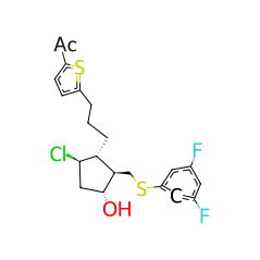 CC(=O)c1ccc(CCC[C@@H]2[C@@H](CSc3cc(F)cc(F)c3)[C@H](O)C[C@H]2Cl)s1